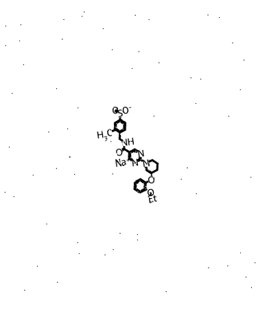 CCOc1ccccc1O[C@@H]1CCCN(c2ncc(C(=O)NCc3ccc(S(=O)[O-])cc3C)cn2)C1.[Na+]